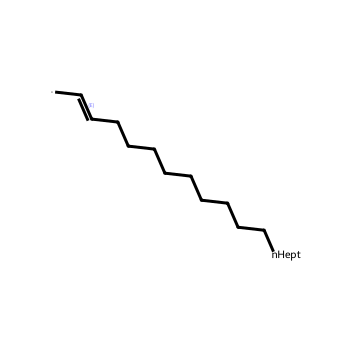 [CH2]/C=C/CCCCCCCCCCCCCCC[CH2]